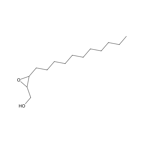 CCCCCCCCCCCC1OC1CO